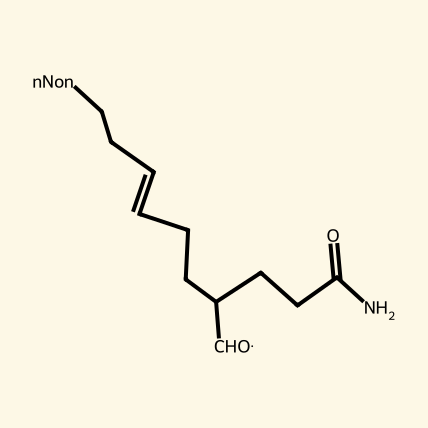 CCCCCCCCCCCC=CCCC([C]=O)CCC(N)=O